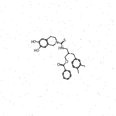 Cc1ccc(CC(CNC(=S)N2CCc3cc(O)c(O)cc3C2)COC(=O)c2ccccc2)cc1C